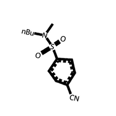 CCCCN(C)S(=O)(=O)c1ccc(C#N)cc1